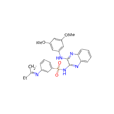 [CH2]C(CC)=Nc1cccc(S(=O)(=O)Nc2nc3ccccc3nc2Nc2cc(OC)cc(OC)c2)c1